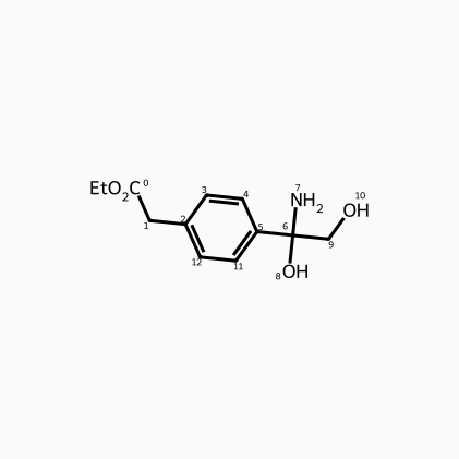 CCOC(=O)Cc1ccc(C(N)(O)CO)cc1